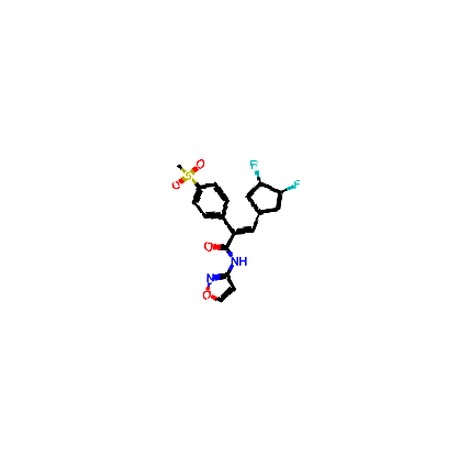 CS(=O)(=O)c1ccc(/C(=C\[C@H]2C[C@@H](F)[C@@H](F)C2)C(=O)Nc2ccon2)cc1